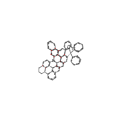 CC1C=c2c(ccc3ccccc23)=C(c2ccccc2N(c2ccccc2-c2cccc3c2-c2ccccc2C3(c2ccccc2)c2ccccc2)c2ccccc2-c2cccc3cccc(C4CCCCC4)c23)C1